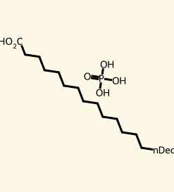 CCCCCCCCCCCCCCCCCCCCCCCC(=O)O.O=P(O)(O)O